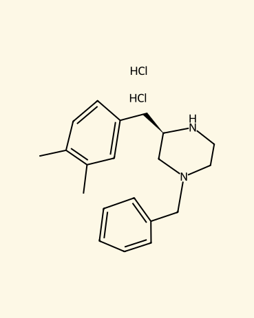 Cc1ccc(C[C@@H]2CN(Cc3ccccc3)CCN2)cc1C.Cl.Cl